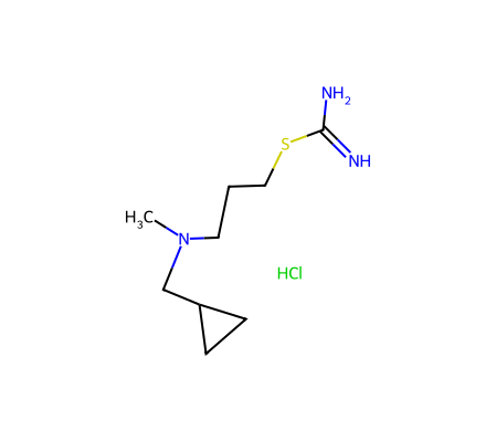 CN(CCCSC(=N)N)CC1CC1.Cl